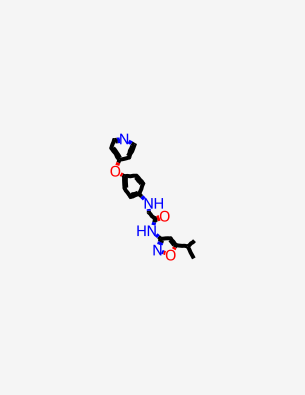 CC(C)c1cc(NC(=O)CNc2ccc(Oc3ccncc3)cc2)no1